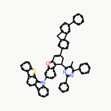 Cc1c(-c2ccccc2)nc(-c2ccccc2)nc1C1CC(c2ccc3c(c2)Cc2ccc(-c4ccccc4)cc2-3)=Cc2oc3cc(-n4c5ccccc5c5ccc6c7ccccc7sc6c54)ccc3c21